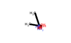 CCCCCCCCCCCCCCCCCCN(C(=O)CCCCCCCCCCC)[C@@]1(NC(=O)CN)C[C@@H](O)[C@H](O)[C@@H](CO)O1